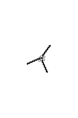 C=CCCCCCCCCC(=O)OC(C)(OC(=O)CCCCCCCCC=C)OC(=O)CCCCCCCCC=C